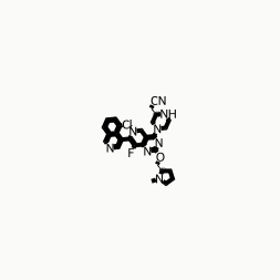 CN1Cc2c(nc(OC[C@@H]3CCCN3C)nc2N2CCN[C@@H](CC#N)C2)C(F)=C1c1cncc2cccc(Cl)c12